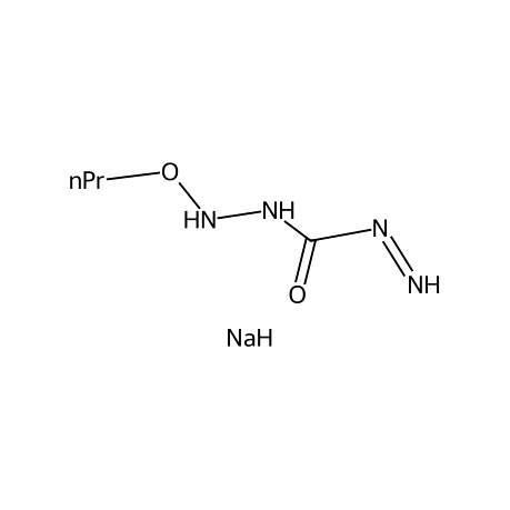 CCCONNC(=O)N=N.[NaH]